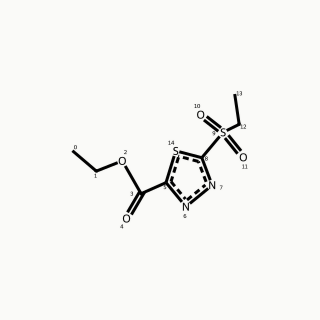 CCOC(=O)c1nnc(S(=O)(=O)CC)s1